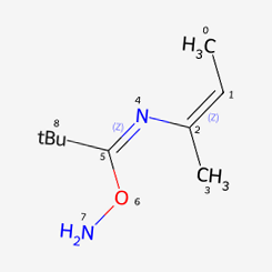 C/C=C(C)\N=C(/ON)C(C)(C)C